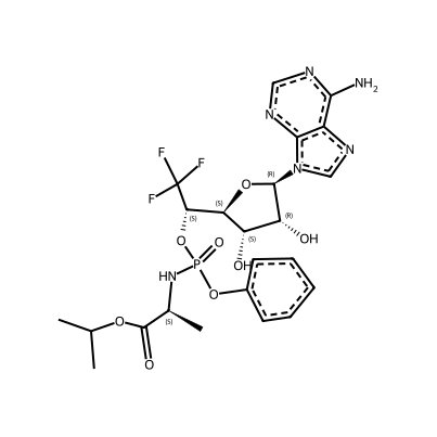 CC(C)OC(=O)[C@H](C)NP(=O)(Oc1ccccc1)O[C@@H]([C@H]1O[C@@H](n2cnc3c(N)ncnc32)[C@H](O)[C@@H]1O)C(F)(F)F